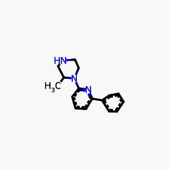 CC1CNCCN1c1cccc(-c2ccccc2)n1